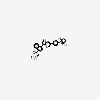 COC(=O)c1ccc(-c2cnn3cc(-c4ccc(N5C[C@H]6CC[C@@H]5C6)cc4)cnc23)c2ccccc12